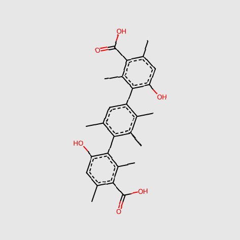 Cc1cc(O)c(-c2cc(C)c(-c3c(O)cc(C)c(C(=O)O)c3C)c(C)c2C)c(C)c1C(=O)O